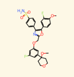 COc1ccc(-c2oc(COc3cc(F)cc(C4(OC)CCOCC4)c3)nc2-c2ccc(S(N)(=O)=O)cc2)cc1F